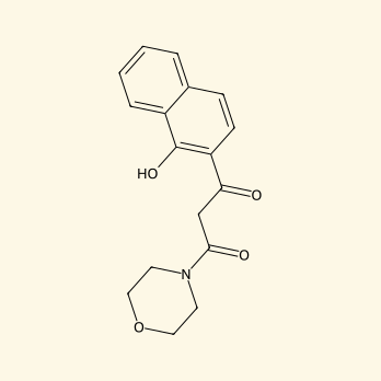 O=C(CC(=O)N1CCOCC1)c1ccc2ccccc2c1O